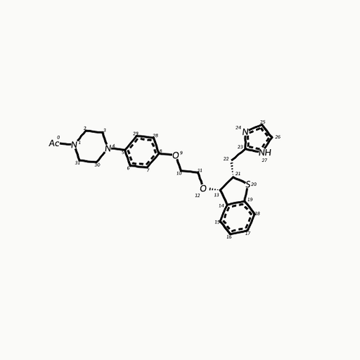 CC(=O)N1CCN(c2ccc(OCCO[C@H]3c4ccccc4S[C@H]3Cc3ncc[nH]3)cc2)CC1